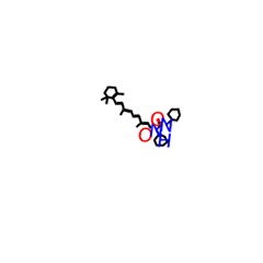 CC1=C(/C=C/C(C)=C/C=C/C(C)=C/C(=O)N(C(=O)NC2CCCCC2)C2CCCCC2)C(C)(C)CCC1